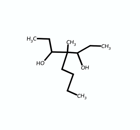 CCCCC(C)(C(O)CC)C(O)CC